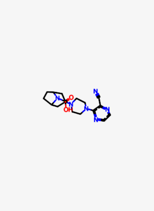 N#Cc1nccnc1N1CCN(C2CC3CCC(C2)N3C(=O)O)CC1